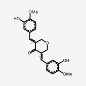 COc1ccc(/C=C2\COC/C(=C\c3ccc(OC)c(O)c3)C2=O)cc1O